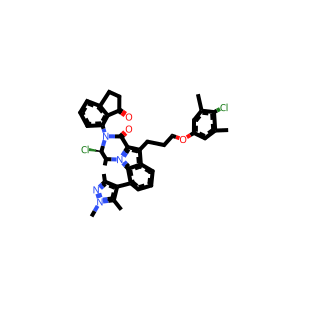 Cc1cc(OCCCc2c3n(c4c(-c5c(C)nn(C)c5C)cccc24)C(C)[C@@H](Cl)N(c2cccc4c2C(=O)CC4)C3=O)cc(C)c1Cl